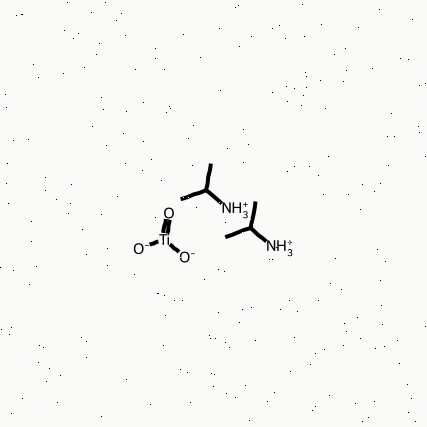 CC(C)[NH3+].CC(C)[NH3+].[O]=[Ti]([O-])[O-]